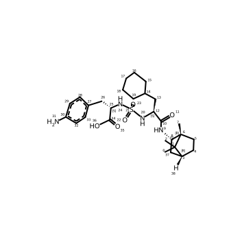 CC1(C)[C@@H]2CC[C@@]1(C)[C@@H](NC(=O)[C@H](CC1CCCCC1)NS(=O)(=O)N[C@@H](Cc1ccc(N)cc1)C(=O)O)C2